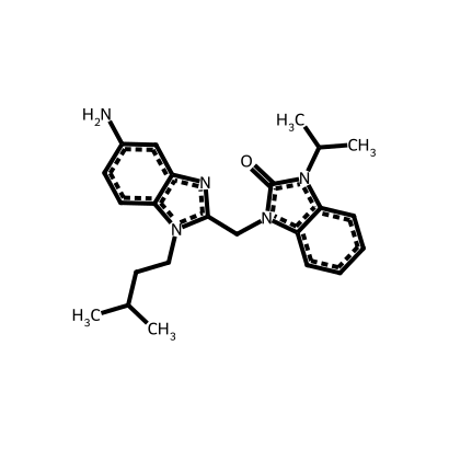 CC(C)CCn1c(Cn2c(=O)n(C(C)C)c3ccccc32)nc2cc(N)ccc21